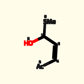 CSC(O)/C=C\C(C)=O